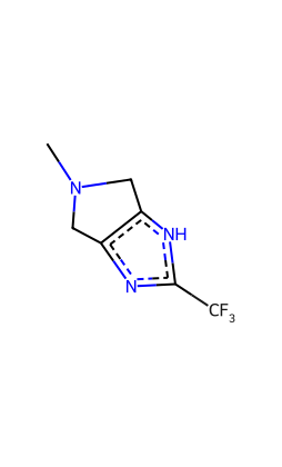 CN1Cc2nc(C(F)(F)F)[nH]c2C1